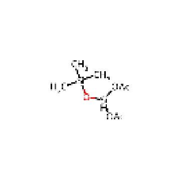 CC(=O)O[SiH](OC(C)=O)O[Si](C)(C)C